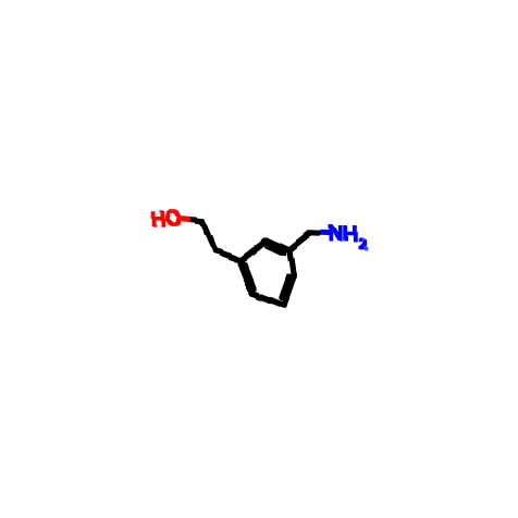 NCc1cccc(CCO)c1